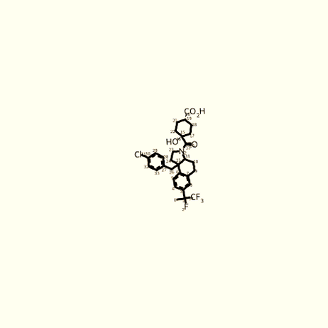 CC(F)(c1ccc2c(c1)CCC1N(C(=O)[C@]3(O)CC[C@@H](C(=O)O)CC3)CCC21Cc1ccc(Cl)cc1)C(F)(F)F